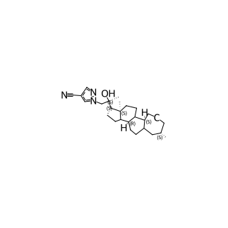 C[C@H]1CCC[C@H]2C(CC[C@@H]3C2CC[C@@]2(C)C3CC[C@@H]2[C@](C)(O)Cn2cc(C#N)cn2)C1